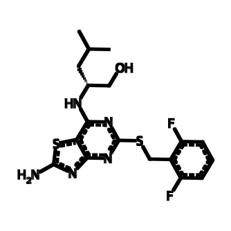 CC(C)C[C@H](CO)Nc1nc(SCc2c(F)cccc2F)nc2nc(N)sc12